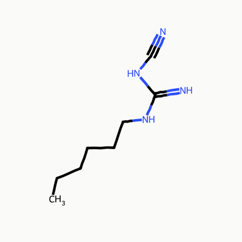 CCCCCCNC(=N)NC#N